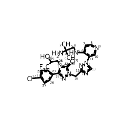 CC(C)(N)CNc1ccncc1-n1cnc(Cn2nc(-c3ccc(Cl)cc3)n(CC(O)C(F)(F)F)c2=O)n1